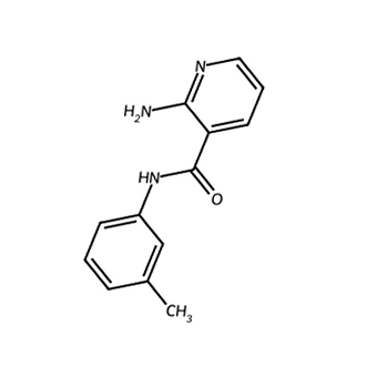 Cc1cccc(NC(=O)c2cccnc2N)c1